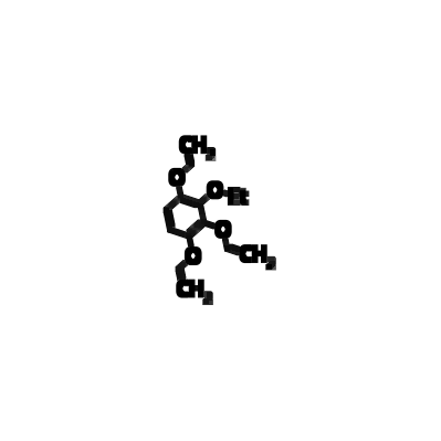 C=COc1ccc(OC=C)c(OCC)c1OC=C